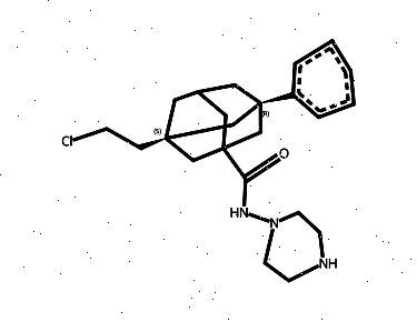 O=C(NN1CCNCC1)C12CC3C[C@@](CCCl)(C1)C[C@](c1ccccc1)(C3)C2